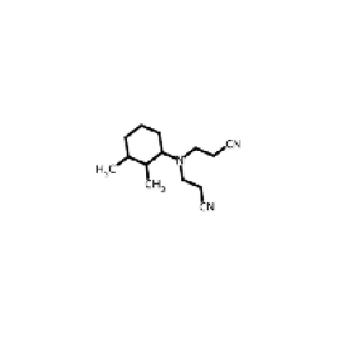 CC1CCCC(N(CCC#N)CCC#N)C1C